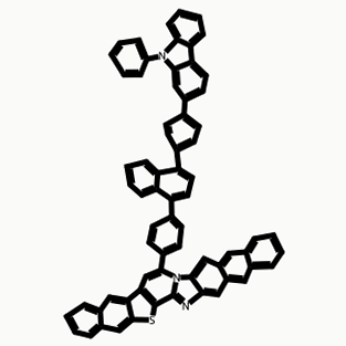 c1ccc(-n2c3ccccc3c3ccc(-c4ccc(-c5ccc(-c6ccc(-c7cc8c9cc%10ccccc%10cc9sc8c8nc9cc%10cc%11ccccc%11cc%10cc9n78)cc6)c6ccccc56)cc4)cc32)cc1